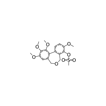 COc1ccc2c(c1OS(C)(=O)=O)COCc1cc(OC)c(OC)c(OC)c1-2